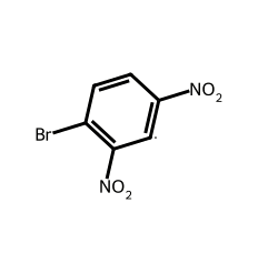 O=[N+]([O-])c1[c]c([N+](=O)[O-])c(Br)cc1